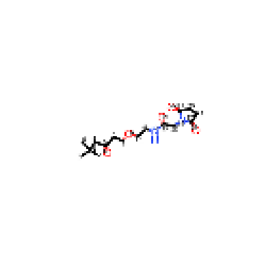 CC(C)(C)CC(=O)CCOCCNC(=O)CN1C(=O)CCC1=O